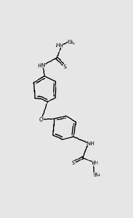 CC(C)(C)NC(=S)Nc1ccc(Oc2ccc(NC(=S)NC(C)(C)C)cc2)cc1